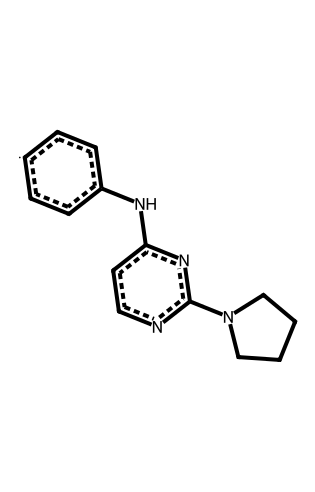 [c]1ccc(Nc2ccnc(N3CCCC3)n2)cc1